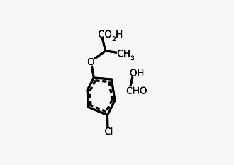 CC(Oc1ccc(Cl)cc1)C(=O)O.O=CO